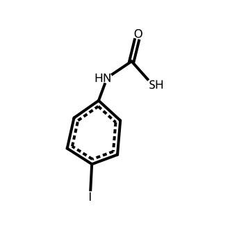 O=C(S)Nc1ccc(I)cc1